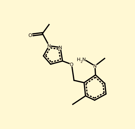 CC(=O)n1ccc(OCc2c(C)cccc2N(C)N)n1